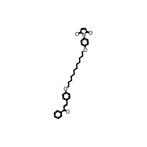 O=C(C=Cc1ccc(OCCCCCCCCCCCCOc2ccc(N3C(=O)C=CC3=O)cc2)cc1)c1ccccc1